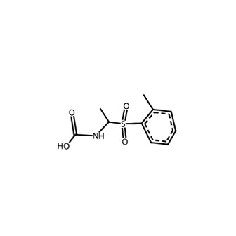 Cc1ccccc1S(=O)(=O)C(C)NC(=O)O